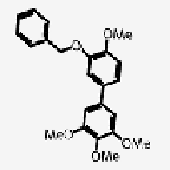 COc1[c]c(-c2ccc(OC)c(OCc3ccccc3)c2)cc(OC)c1OC